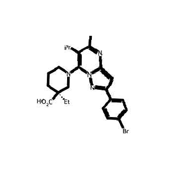 CC[C@]1(C(=O)O)CCCN(c2c(C(C)C)c(C)nc3cc(-c4ccc(Br)cc4)nn23)C1